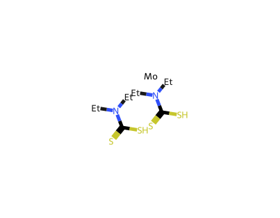 CCN(CC)C(=S)S.CCN(CC)C(=S)S.[Mo]